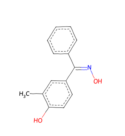 Cc1cc(/C(=N\O)c2ccccc2)ccc1O